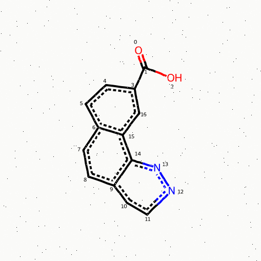 O=C(O)c1ccc2ccc3ccnnc3c2c1